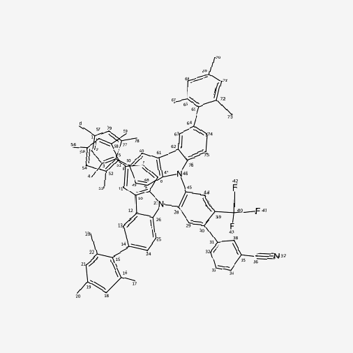 Cc1cc(C)c(-c2ccc3c(c2)c2cc(-c4c(C)cc(C)cc4C)ccc2n3-c2cc(-c3cccc(C#N)c3)c(C(F)(F)F)cc2-n2c3ccc(-c4c(C)cc(C)cc4C)cc3c3cc(-c4c(C)cc(C)cc4C)ccc32)c(C)c1